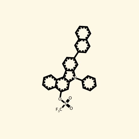 O=S(=O)(Oc1cc2c(c3ccccc13)c1ccc(-c3ccc4ccccc4c3)cc1n2-c1ccccc1)C(F)(F)F